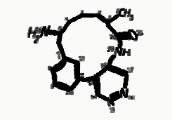 CC1CCCC(N)c2cccc(c2)-c2cnncc2NC1=O